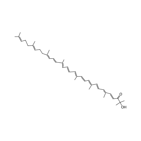 CC(C)=CCC/C(C)=C/CC/C(C)=C/C=C/C(C)=C/C=C/C=C(C)/C=C/C=C(C)/C=C/C=C(C)/C=C/C(=O)C(C)(C)O